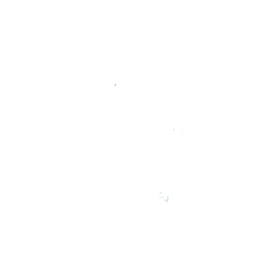 BrC1CCC=CO1